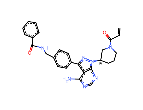 C=CC(=O)N1CCC[C@@H](n2nc(-c3ccc(CNC(=O)c4ccccc4)cc3)c3c(N)ncnc32)C1